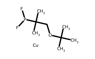 CC(C)(C)OCC(C)(C)P(F)F.[Cu]